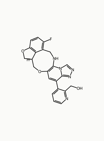 OCc1ncccc1-c1cc2c(n3cnnc13)NCc1c(F)ccc3c1[C@H](CO3)CO2